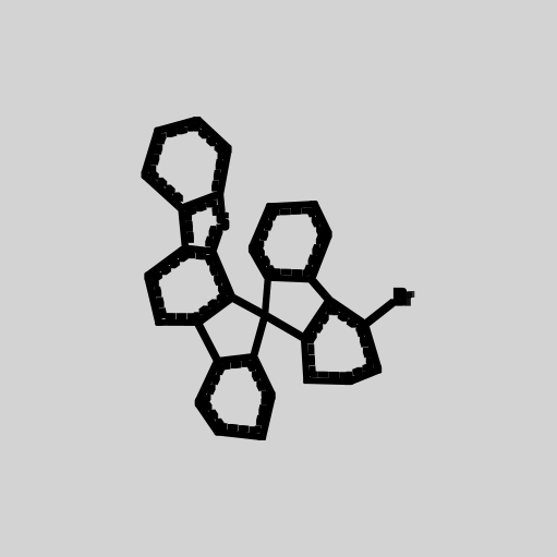 Brc1cccc2c1-c1ccccc1C21c2ccccc2-c2ccc3c(sc4ccccc43)c21